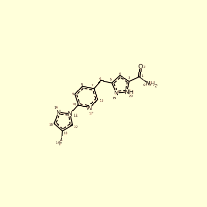 NC(=O)c1cc(Cc2ccc(-n3cc(F)cn3)nc2)n[nH]1